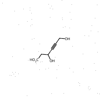 O=C(O)CC(O)C#CCO